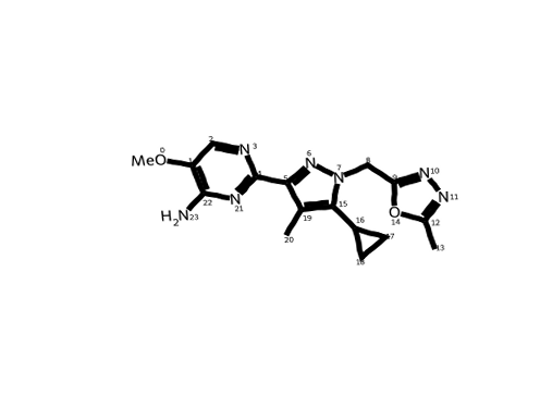 COc1cnc(-c2nn(Cc3nnc(C)o3)c(C3CC3)c2C)nc1N